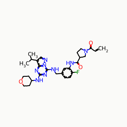 C=CC(=O)N1CCC(C(=O)Nc2cc(CNc3nc(NC4CCOCC4)nc4c(C(C)C)cnn34)ccc2F)C1